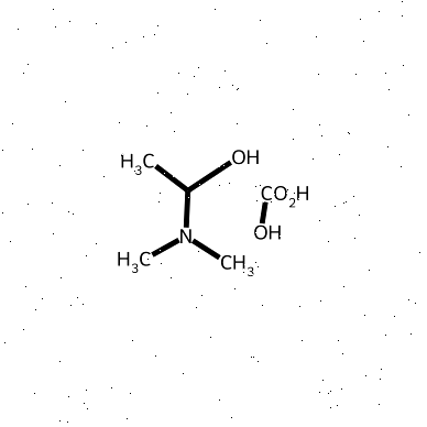 CC(O)N(C)C.O=C(O)O